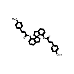 COc1ccc(/C=C/C(=O)Oc2cccc3c2C2(CC3)CCc3cccc(OC(=O)/C=C/c4ccc(OC)cc4)c32)cc1